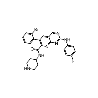 O=C(NC1CCNCC1)c1nc2nc(Nc3ccc(F)cc3)ncc2cc1-c1ccccc1Br